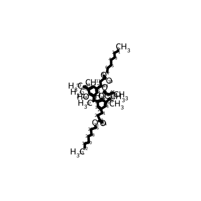 CCCCCCCCOC(=O)CCc1cc(C(C)c2cc(CCC(=O)OCCCCCCCC)cc(C(C)(C)C)c2OC(=O)CCC)c(O)c(C(C)(C)C)c1